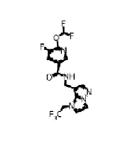 O=C(NCc1cnn2ccn(CC(F)(F)F)c12)c1cnc(OC(F)F)c(F)c1